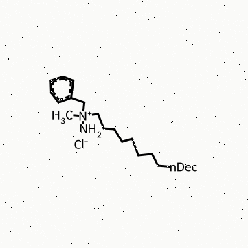 CCCCCCCCCCCCCCCCCC[N+](C)(N)Cc1ccccc1.[Cl-]